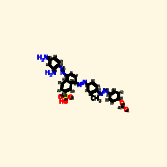 Cc1cc(N=Nc2ccc(N=Nc3ccc(N)cc3N)c3ccc(S(=O)(=O)O)cc23)ccc1N=Nc1ccc(OC=O)cc1